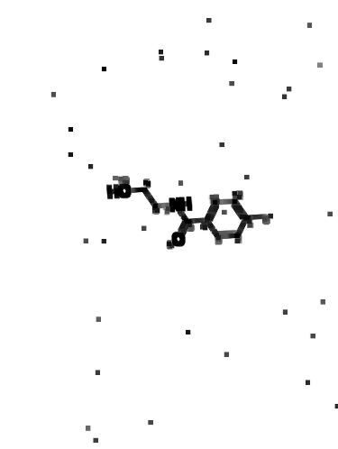 [CH2]c1ccc(C(=O)NCCO)cc1